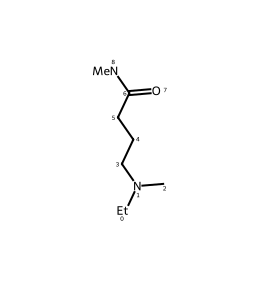 CCN(C)CCCC(=O)NC